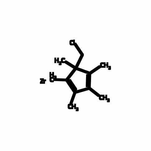 CC1=C(C)C(C)(CCl)C(C)=C1C.[Zr]